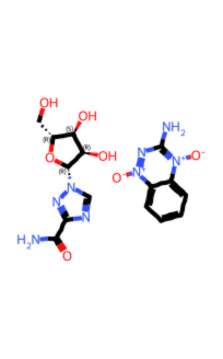 NC(=O)c1ncn([C@@H]2O[C@H](CO)[C@@H](O)[C@H]2O)n1.Nc1n[n+]([O-])c2ccccc2[n+]1[O-]